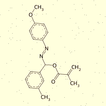 C=C(C)C(=O)OC(N=Nc1ccc(OC)cc1)c1cccc(C)c1